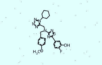 COc1ccc(CN(Cc2nnnn2C2CCCCC2)c2noc(-c3ccc(F)c(O)c3)n2)cc1